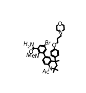 CNc1c(C(N)=O)cc(Br)cc1-c1ccc2c(c1)C(C)(c1ccc(OCCCN3CCOCC3)cc1)CC(C)(C)N2C(C)=O